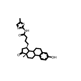 Cc1cnc(NC(=O)CCC[C@@H]2CC(=O)[C@@]3(C)CCC4c5ccc(O)cc5CCC4C23)s1